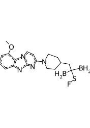 BC(B)(CC1CCN(c2ccn3c(n2)nc2cccc(OC)c23)CC1)SF